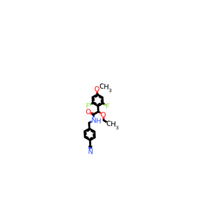 CCOC(C(=O)NCc1ccc(C#N)cc1)c1c(F)cc(OC)cc1F